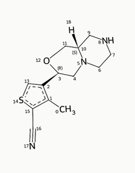 Cc1c([C@@H]2CN3CCNC[C@H]3CO2)csc1C#N